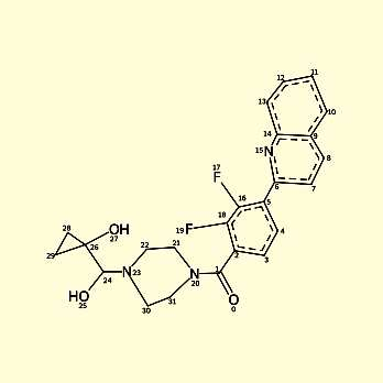 O=C(c1ccc(-c2ccc3ccccc3n2)c(F)c1F)N1CCN(C(O)C2(O)CC2)CC1